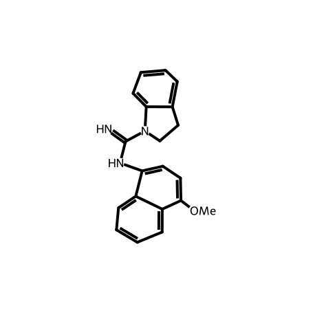 COc1ccc(NC(=N)N2CCc3ccccc32)c2ccccc12